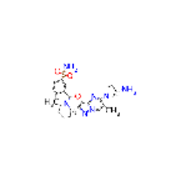 Cc1ccc(S(N)(=O)=O)cc1C(=O)N1CCCC[C@H]1c1cc2nc(N3CC[C@H](N)C3)c(C)cn2n1